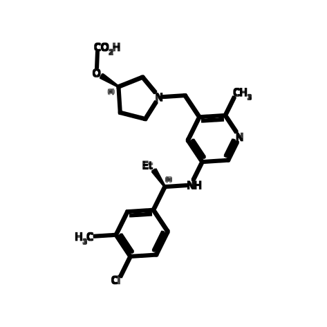 CC[C@@H](Nc1cnc(C)c(CN2CC[C@@H](OC(=O)O)C2)c1)c1ccc(Cl)c(C)c1